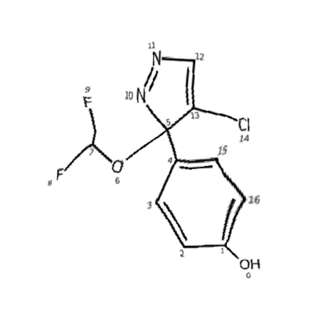 Oc1ccc(C2(OC(F)F)N=NC=C2Cl)cc1